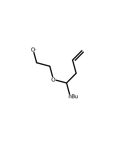 C=CCC(CCCC)OCC[O]